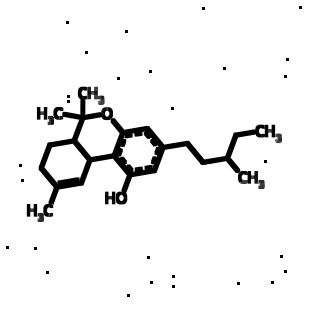 CCC(C)CCc1cc(O)c2c(c1)OC(C)(C)C1CCC(C)=CC21